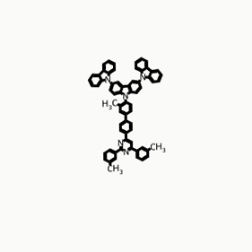 Cc1cccc(-c2cc(-c3ccc(-c4ccc(-n5c6ccc(-n7c8ccccc8c8ccccc87)cc6c6cc(-n7c8ccccc8c8ccccc87)ccc65)c(C)c4)cc3)nc(-c3cccc(C)c3)n2)c1